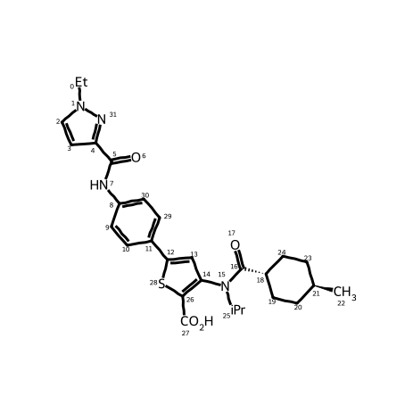 CCn1ccc(C(=O)Nc2ccc(-c3cc(N(C(=O)[C@H]4CC[C@H](C)CC4)C(C)C)c(C(=O)O)s3)cc2)n1